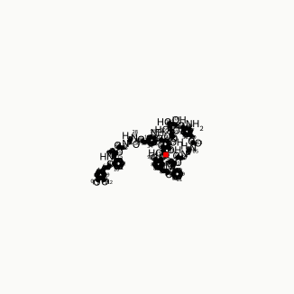 COc1ccc(CCO[C@H]2CCCC[C@H]2C2NCC[C@@H]2OC(=O)CNCCN(C)C(=O)OCc2ccc(OC3OC(C(=O)O)C(O)C(O)C3OC(=O)C3OC(Oc4ccc(COC(=O)N(C)CCNCC(=O)O[C@@H]5CCNC5[C@@H]5CCCC[C@H]5OCCc5ccc(OC)c(OC)c5)cc4N)C(O)C(O)C3O)c(N)c2)cc1OC